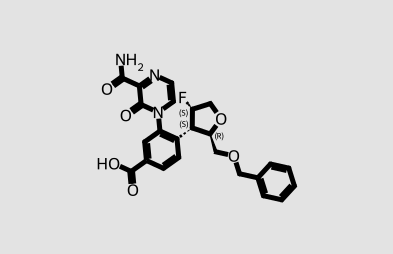 NC(=O)c1nccn(-c2cc(C(=O)O)ccc2[C@@H]2[C@H](F)CO[C@H]2COCc2ccccc2)c1=O